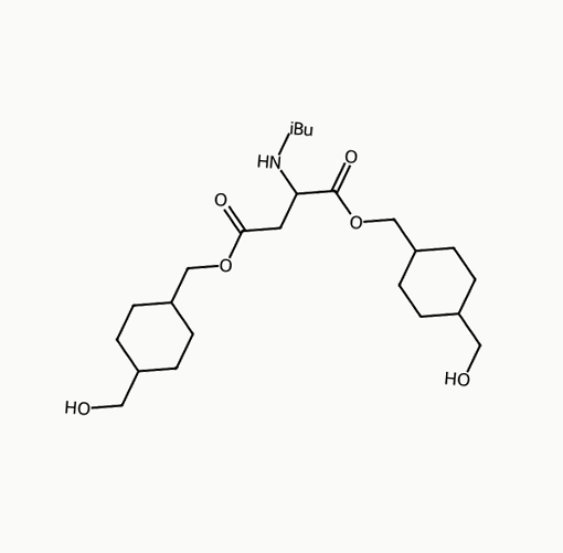 CCC(C)NC(CC(=O)OCC1CCC(CO)CC1)C(=O)OCC1CCC(CO)CC1